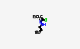 CCOC(=O)C(Cl)=NNCCC(C)(C)C